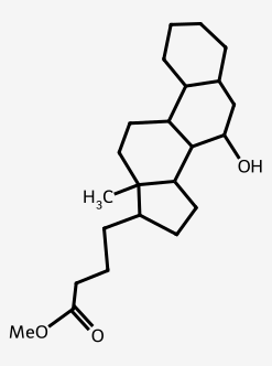 COC(=O)CCCC1CCC2C3C(O)CC4CCCCC4C3CCC12C